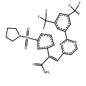 NC(=O)/C(=C/c1ccnc(-c2cc(C(F)(F)F)cc(C(F)(F)F)c2)n1)c1cccc(S(=O)(=O)N2CCCC2)c1